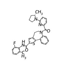 Cc1cccc(F)c1NC(=O)c1cc2c(s1)-c1ccccc1N(C(=O)c1cccc(N3CCC[C@@H]3C)n1)CC2